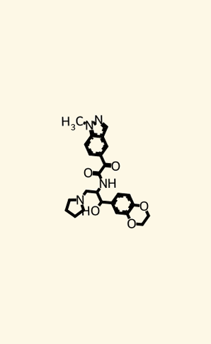 Cn1ncc2cc(C(=O)C(=O)NC(CN3CCCC3)C(O)c3ccc4c(c3)OCCO4)ccc21